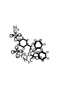 CC(C)(C)[Si](OCC1CCC(OS(C)(=O)=O)[C@@H](OS(C)(=O)=O)C1)(c1ccccc1)c1ccccc1